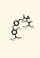 CC(O)c1ccc(Oc2ccc(CNC(=O)C3(NC(=O)C(C)C(F)(F)F)CC3)nc2)c(C(F)(F)F)c1